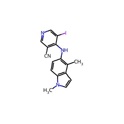 Cc1c(Nc2c(I)cncc2C#N)ccc2c1ccn2C